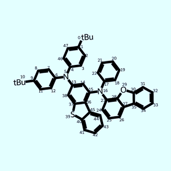 CC(C)(C)c1ccc(N(c2ccc(C(C)(C)C)cc2)c2cc(N(c3ccccc3)c3cccc4c3oc3ccccc34)c3c(c2)sc2ccccc23)cc1